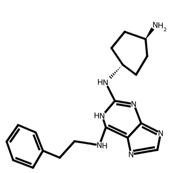 N[C@H]1CC[C@H](Nc2nc3ncnc-3c(NCCc3ccccc3)[nH]2)CC1